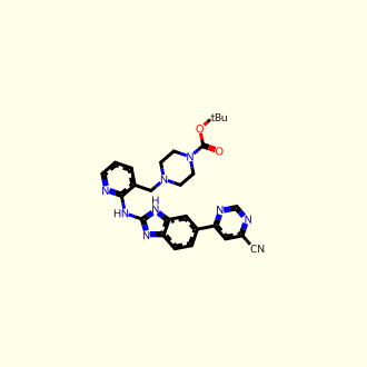 CC(C)(C)OC(=O)N1CCN(Cc2cccnc2Nc2nc3ccc(-c4cc(C#N)ncn4)cc3[nH]2)CC1